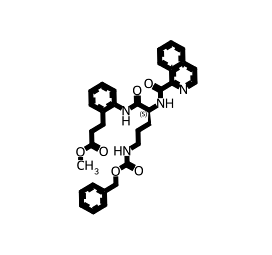 COC(=O)CCc1ccccc1NC(=O)[C@H](CCCNC(=O)OCc1ccccc1)NC(=O)c1nccc2ccccc12